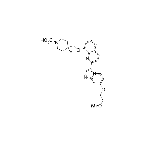 COCCOc1ccn2c(-c3ccc4cccc(OCC5(F)CCN(C(=O)O)CC5)c4n3)cnc2c1